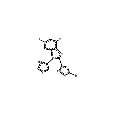 Fc1cc(F)c2nc(-c3nc(Br)n[nH]3)c(-c3cnc[nH]3)n2c1